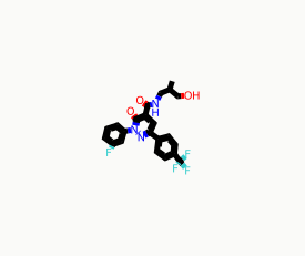 CC(CO)CNC(=O)c1cc(-c2ccc(C(F)(F)F)cc2)nn(-c2cccc(F)c2)c1=O